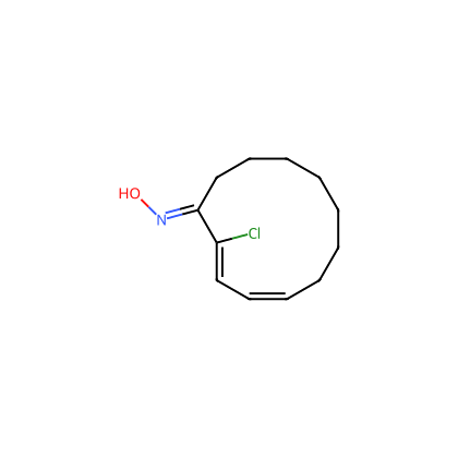 ON=C1CCCCCCC/C=C\C=C\1Cl